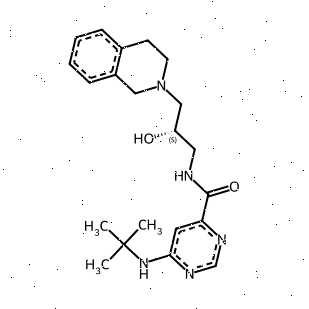 CC(C)(C)Nc1cc(C(=O)NC[C@H](O)CN2CCc3ccccc3C2)ncn1